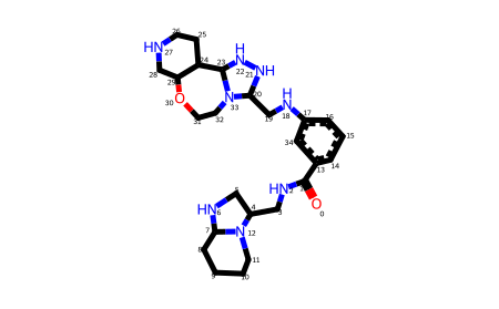 O=C(NCC1CNC2CCCCN12)c1cccc(NCC2NNC3C4CCNCC4OCCN23)c1